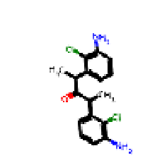 CC(C(=O)C(C)c1cccc(N)c1Cl)c1cccc(N)c1Cl